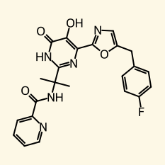 CC(C)(NC(=O)c1ccccn1)c1nc(-c2ncc(Cc3ccc(F)cc3)o2)c(O)c(=O)[nH]1